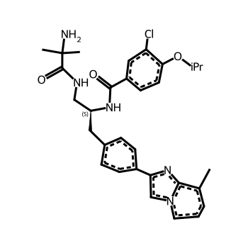 Cc1cccn2cc(-c3ccc(C[C@@H](CNC(=O)C(C)(C)N)NC(=O)c4ccc(OC(C)C)c(Cl)c4)cc3)nc12